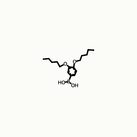 CCCCCOc1ccc(B(O)O)cc1OCCCCC